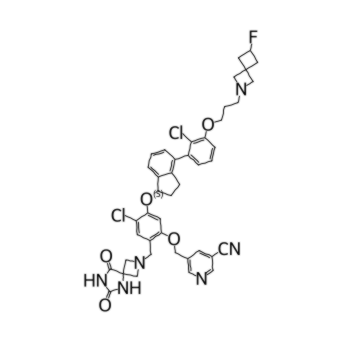 N#Cc1cncc(COc2cc(O[C@H]3CCc4c(-c5cccc(OCCCN6CC7(CC(F)C7)C6)c5Cl)cccc43)c(Cl)cc2CN2CC3(C2)NC(=O)NC3=O)c1